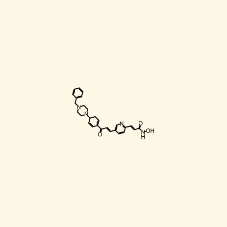 O=C(/C=C/c1ccc(/C=C/C(=O)C2=CCC(N3CCN(Cc4ccccc4)CC3)C=C2)cn1)NO